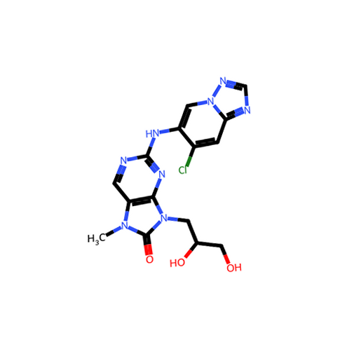 Cn1c(=O)n(CC(O)CO)c2nc(Nc3cn4ncnc4cc3Cl)ncc21